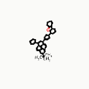 CC(C)(C)c1cc2ccc3c(-c4ccccc4)cc(-c4ccc(-c5cccc6c5oc5ccccc56)cc4)c4ccc(c1)c2c34